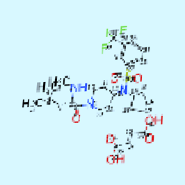 CN[C@@H](CC(C)C)C(=O)N1CCC(N(C2CCCC2)S(=O)(=O)c2cccc(C(F)(F)F)c2)CC1.O=C(O)C=CC(=O)O